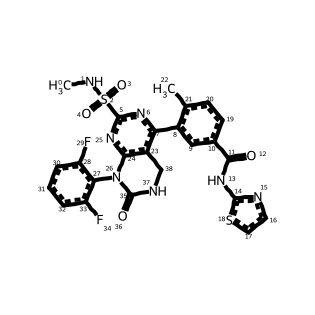 CNS(=O)(=O)c1nc(-c2cc(C(=O)Nc3nccs3)ccc2C)c2c(n1)N(c1c(F)cccc1F)C(=O)NC2